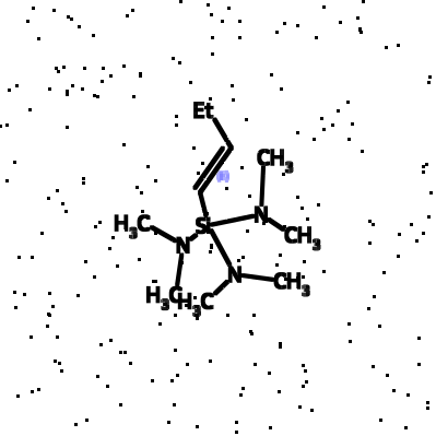 CC/C=C/[Si](N(C)C)(N(C)C)N(C)C